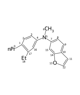 CCCc1ccc(N(C)c2ccc3ccoc3c2)cc1CC